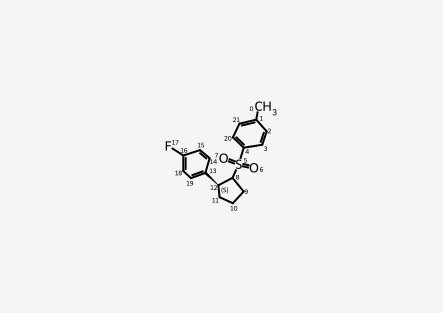 Cc1ccc(S(=O)(=O)C2CCC[C@H]2c2ccc(F)cc2)cc1